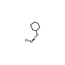 CCN=C=NC1CCCCC1